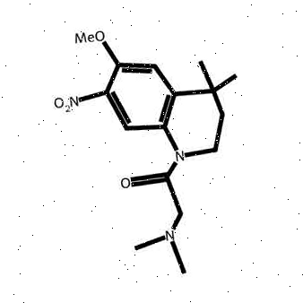 COc1cc2c(cc1[N+](=O)[O-])N(C(=O)CN(C)C)CCC2(C)C